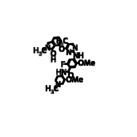 COc1cc(C(=O)N[C@@H]2CCN(C)C[C@@H]2OC)c(F)cc1Nc1ncc(C(F)(F)F)c(Oc2cccc3c2C(O)N(C)C3)n1